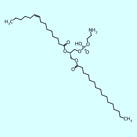 CCCCC/C=C\CCCCCCCC(=O)O[C@H](COC(=O)CCCCCCCCCCCCCCC)COP(=O)(O)OCCN